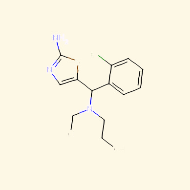 CCCN(CC)C(c1cnc(N)s1)c1ccccc1Cl